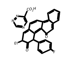 CCC1C=c2ccc3c(c2C(c2ccc(F)cc2)C1=O)C(=O)C=c1ccccc1=3.O=C(O)c1cncnn1